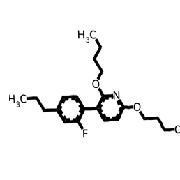 CCCCOc1ccc(-c2ccc(CCC)cc2F)c(OCCCC)n1